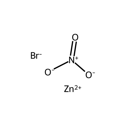 O=[N+]([O-])[O-].[Br-].[Zn+2]